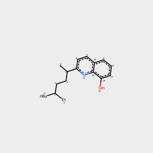 CCCCC(CC)CCC(C)c1ccc2cccc(O)c2n1